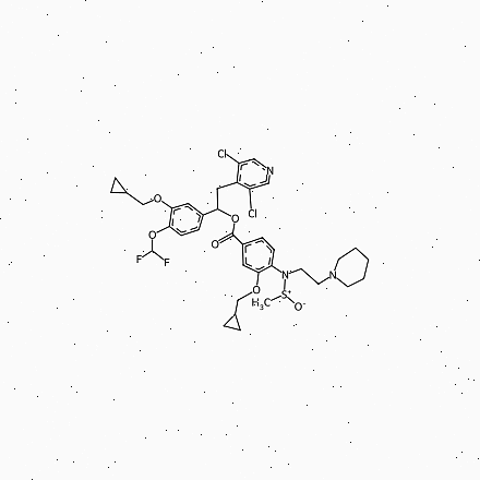 C[S+]([O-])N(CCN1CCCCC1)c1ccc(C(=O)OC(Cc2c(Cl)cncc2Cl)c2ccc(OC(F)F)c(OCC3CC3)c2)cc1OCC1CC1